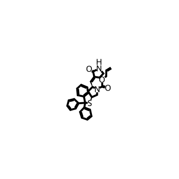 C=CCOC(=O)N1C[C@@H](SC(c2ccccc2)(c2ccccc2)c2ccccc2)C[C@H]1C=C1CCNC1=O